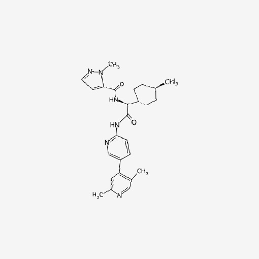 Cc1cc(-c2ccc(NC(=O)[C@@H](NC(=O)c3ccnn3C)[C@H]3CC[C@H](C)CC3)nc2)c(C)cn1